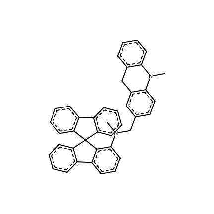 CN(Cc1ccc2c(c1)Cc1ccccc1N2C)c1cccc2c1C1(c3ccccc3-c3ccccc31)c1ccccc1-2